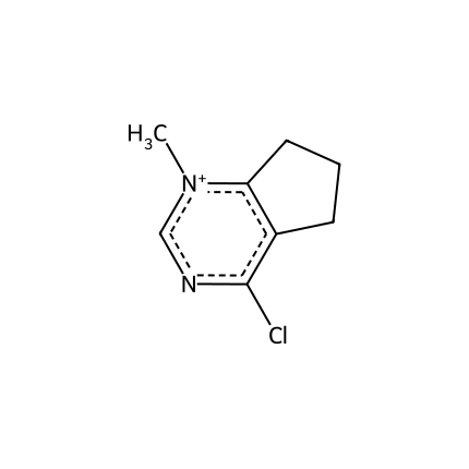 C[n+]1cnc(Cl)c2c1CCC2